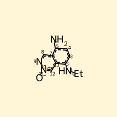 CCNc1ccc(N)c2cn[n+]([O-])cc12